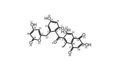 Cc1c(C(=O)c2c(O)cc(O)cc2Cc2cc(O)cc(=O)o2)c(O)cc2c1C(=O)C=C(O)C2=O